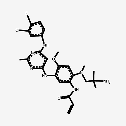 C=CC(=O)Nc1cc(Nc2cc(Nc3ccc(F)c(Cl)c3)nc(C)n2)c(OC)cc1N(C)CC(C)(C)N